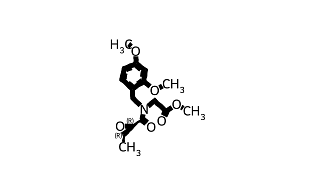 COC(=O)CN(Cc1ccc(OC)cc1OC)C(=O)[C@@H]1O[C@@H]1C